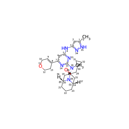 Cc1cc(Nc2cc(C3=CCOCC3)nc(N(C)[C@H]3C[C@H]4CCC[C@@H](C3)N4C(=O)CC3CC3)n2)n[nH]1